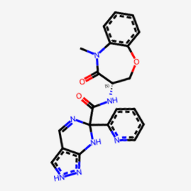 CN1C(=O)[C@@H](NC(=O)C2(c3ccccn3)N=Cc3c[nH]nc3N2)COc2ccccc21